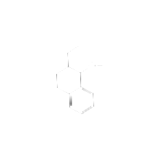 CCC1CCc2ccccc2C1O